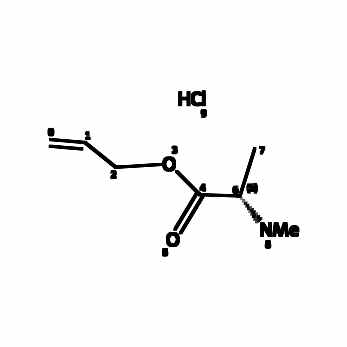 C=CCOC(=O)[C@H](C)NC.Cl